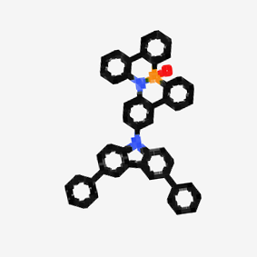 O=P12c3ccccc3-c3ccccc3N1c1ccc(-n3c4ccc(-c5ccccc5)cc4c4cc(-c5ccccc5)ccc43)cc1-c1ccccc12